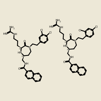 N=C(N)NCCC[C@@H]1N[C@H](CNC(=O)c2ccc3ccccc3c2)CCN(CCc2ccc(Cl)c(Cl)c2)C1=O.N=C(N)NCCC[C@@H]1N[C@H](CNC(=O)c2ccc3ccccc3c2)CCN(CCc2ccc(Cl)cc2Cl)C1=O